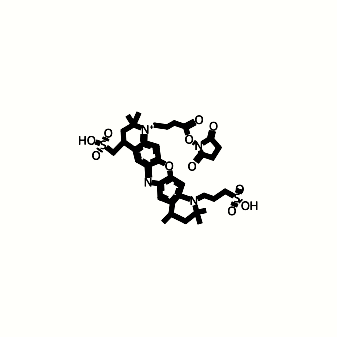 CC1CC(C)(C)N(CCCS(=O)(=O)O)c2cc3c(cc21)N=c1cc2c(cc1O3)=[N+](CCCC(=O)ON1C(=O)CCC1=O)C(C)(C)CC2CS(=O)(=O)O